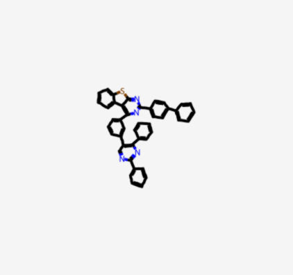 c1ccc(-c2ccc(-c3nc(-c4cccc(-c5cnc(-c6ccccc6)nc5-c5ccccc5)c4)c4c(n3)sc3ccccc34)cc2)cc1